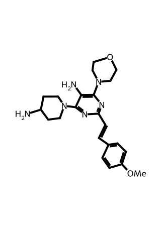 COc1ccc(C=Cc2nc(N3CCOCC3)c(N)c(N3CCC(N)CC3)n2)cc1